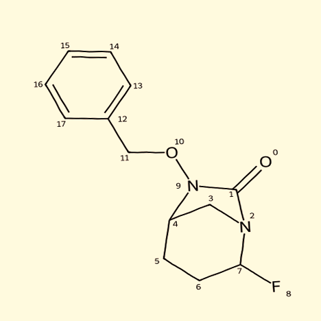 O=C1N2CC(CCC2F)N1OCc1ccccc1